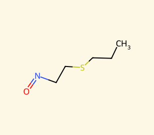 CCCSCCN=O